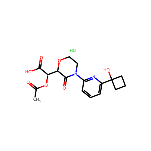 CC(=O)O[C@@H](C(=O)O)C1OCCN(c2cccc(C3(O)CCC3)n2)C1=O.Cl